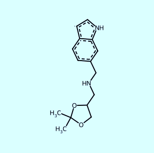 CC1(C)OCC(CNCc2ccc3[c]c[nH]c3c2)O1